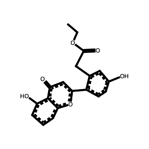 CCOC(=O)Cc1cc(O)ccc1-c1cc(=O)c2c(O)cccc2o1